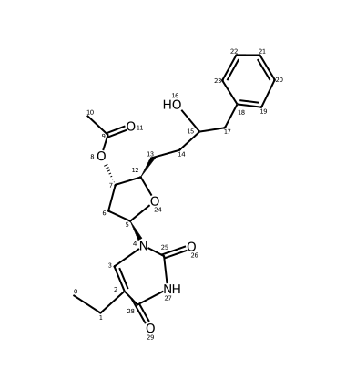 CCc1cn([C@H]2C[C@H](OC(C)=O)[C@@H](CCC(O)Cc3ccccc3)O2)c(=O)[nH]c1=O